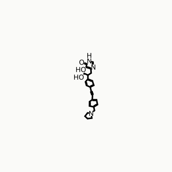 O=c1[nH]cnc(CC(CO)c2ccc(C#Cc3ccc(CN4CCCC4)cc3)cc2)c1O